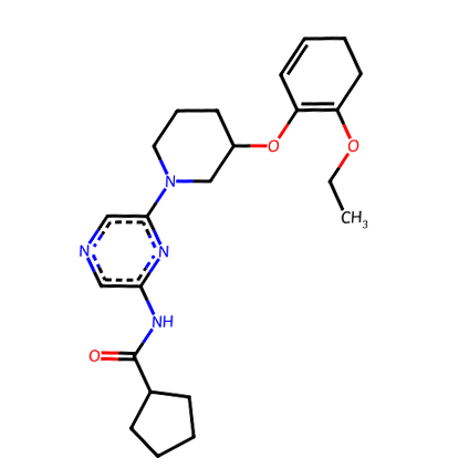 CCOC1=C(OC2CCCN(c3cncc(NC(=O)C4CCCC4)n3)C2)C=CCC1